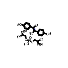 CC/C(=C(/CC)c1ccc(O)cc1)c1ccc(O)cc1.CCCCC(CC)COP(=O)(O)OCC(CC)CCCC